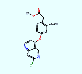 COc1cc(Oc2ccnc3cc(Cl)ncc23)ccc1CC(=O)OC(C)(C)C